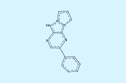 c1ccc(-c2cnc3[nH][n+]4cccn4c3n2)cc1